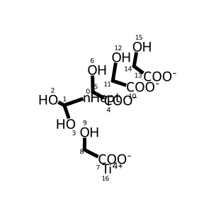 CCCCCCCC(O)O.O=C([O-])CO.O=C([O-])CO.O=C([O-])CO.O=C([O-])CO.[Ti+4]